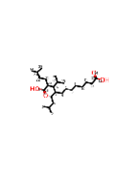 CC(C)CCC(CCCCCCCC(=O)O)C(C(C)C)C(CCC(C)C)C(=O)O